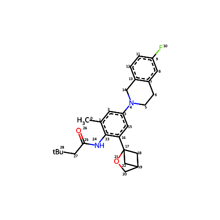 Cc1cc(N2CCc3cc(F)ccc3C2)cc(C23CC(CO2)C3)c1NC(=O)CC(C)(C)C